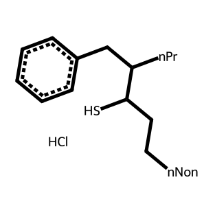 CCCCCCCCCCCC(S)C(CCC)Cc1ccccc1.Cl